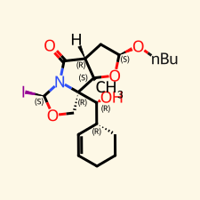 CCCCO[C@@H]1C[C@H]2C(=O)N3[C@H](I)OC[C@@]3([C@H](O)[C@H]3C=CCCC3)[C@@]2(C)O1